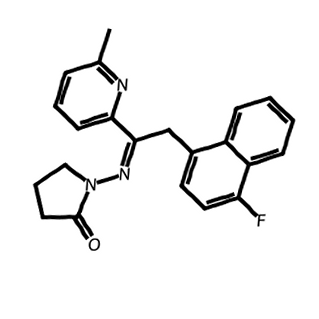 Cc1cccc(C(Cc2ccc(F)c3ccccc23)=NN2CCCC2=O)n1